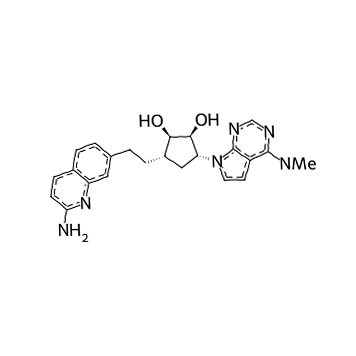 CNc1ncnc2c1ccn2[C@@H]1C[C@H](CCc2ccc3ccc(N)nc3c2)[C@@H](O)[C@H]1O